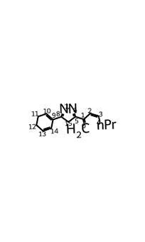 C=C(/C=C\CCC)C1=NN=C(C2=CCCC=C2)C1